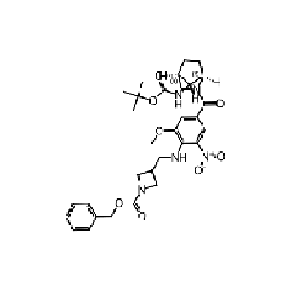 COc1cc(C(=O)N2C[C@H]3CC[C@@H]2[C@@H]3NC(=O)OC(C)(C)C)cc([N+](=O)[O-])c1NCC1CN(C(=O)OCc2ccccc2)C1